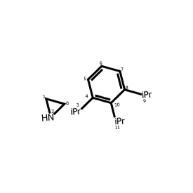 C1CN1.CC(C)c1cccc(C(C)C)c1C(C)C